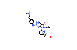 C=CCn1c(=O)c2cnc(Nc3ccc(CCN(C)C)cc3)nc2n1-c1cccc(C(C)(C)O)n1